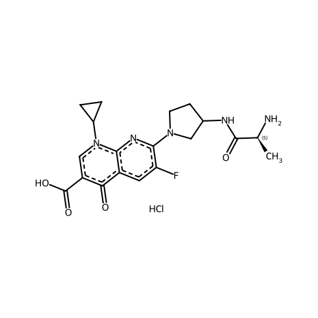 C[C@H](N)C(=O)NC1CCN(c2nc3c(cc2F)c(=O)c(C(=O)O)cn3C2CC2)C1.Cl